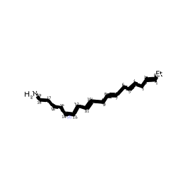 CCC=CCC=CCC=CCC=CC/C=C\CCCCN